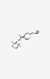 CC1=C(/C=C/C(C)=C2C=C/C(=C/C=O)CCC/2)C(C)(C)CCC1